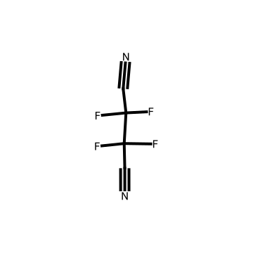 N#CC(F)(F)C(F)(F)C#N